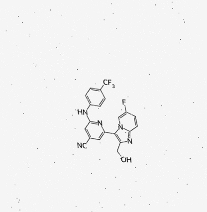 N#Cc1cc(Nc2ccc(C(F)(F)F)cc2)nc(-c2c(CO)nc3ccc(F)cn23)c1